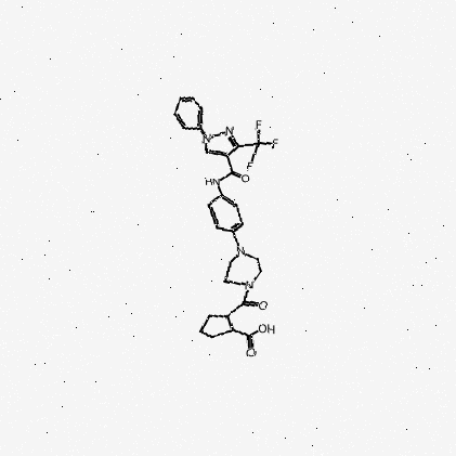 O=C(Nc1ccc(N2CCN(C(=O)C3CCCC3C(=O)O)CC2)cc1)c1cn(-c2ccccc2)nc1C(F)(F)F